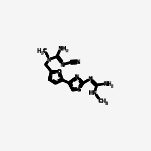 CNC(N)=Nc1nc(-c2ccc(CN(C)C(N)=NC#N)o2)cs1